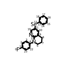 Fc1ccc(N2CCCc3cc([Se]c4ccccc4)cnc32)cc1